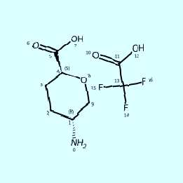 N[C@@H]1CC[C@@H](C(=O)O)OC1.O=C(O)C(F)(F)F